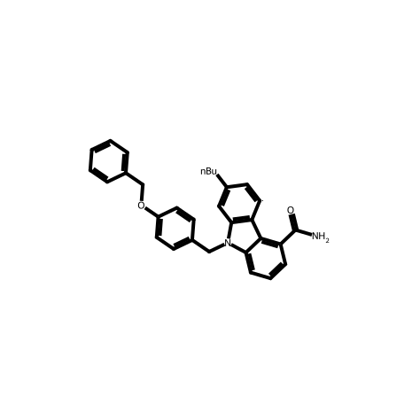 CCCCc1c[c]c2c3c(C(N)=O)cccc3n(Cc3ccc(OCc4ccccc4)cc3)c2c1